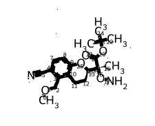 COCc1c(C#N)ccc2c1CC[C@H]([C@](C)(ON)C(=O)OC(C)(C)C)O2